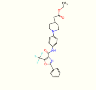 CCOC(=O)CC1CCN(c2ccc(NC(=O)c3nc(-c4ccccc4)oc3C(F)(F)F)cc2)CC1